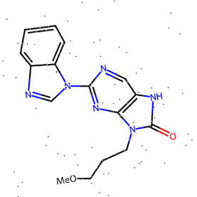 COCCCn1c(=O)[nH]c2cnc(-n3cnc4ccccc43)nc21